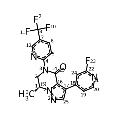 C[C@H]1CN(c2ccc(C(F)(F)F)cn2)C(=O)c2c(-c3ccnc(F)c3)cnn21